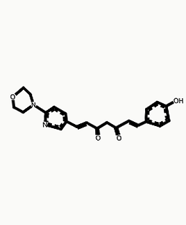 O=C(/C=C/c1ccc(O)cc1)CC(=O)/C=C/c1ccc(N2CCOCC2)nc1